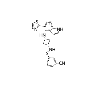 N#Cc1cccc(SN[C@H]2C[C@@H](Nc3c(-c4nccs4)cnc4[nH]ccc34)C2)c1